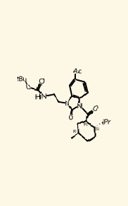 CC(=O)c1ccc2c(c1)n(CCNC(=O)OC(C)(C)C)c(=O)n2C(=O)[C@@H]1C[C@H](C)CC[C@H]1C(C)C